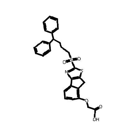 O=C(O)COc1cccc2c1Cc1sc(S(=O)(=O)CCCC(c3ccccc3)c3ccccc3)nc1-2